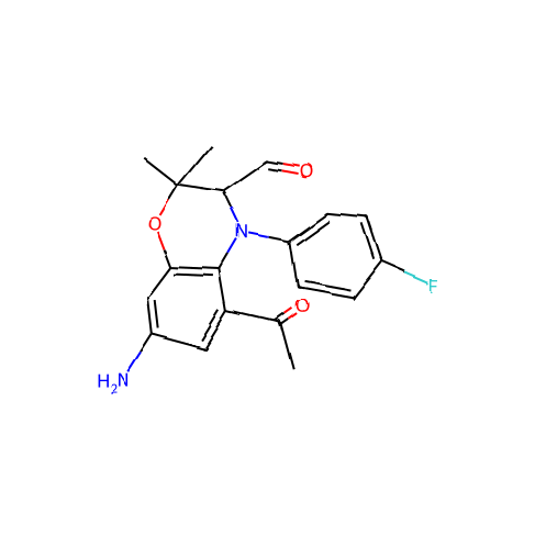 CC(=O)c1cc(N)cc2c1N(c1ccc(F)cc1)C(C=O)C(C)(C)O2